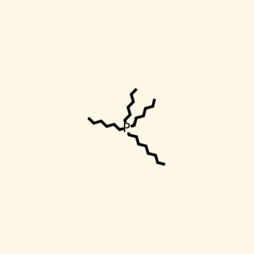 CCCCCCCC[P+](CCCCCC)(CCCCCC)CCCCCC